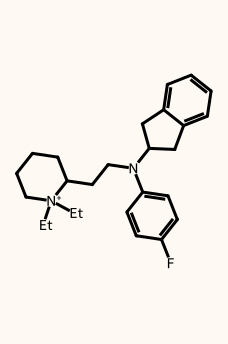 CC[N+]1(CC)CCCCC1CCN(c1ccc(F)cc1)C1Cc2ccccc2C1